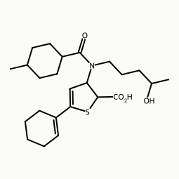 CC(O)CCCN(C(=O)C1CCC(C)CC1)C1C=C(C2=CCCCC2)SC1C(=O)O